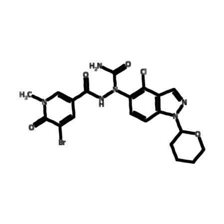 Cn1cc(C(=O)NN(C(N)=O)c2ccc3c(cnn3C3CCCCO3)c2Cl)cc(Br)c1=O